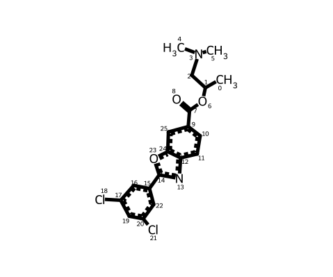 CC(CN(C)C)OC(=O)c1ccc2nc(-c3cc(Cl)cc(Cl)c3)oc2c1